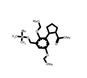 COCOc1cc(CO[Si](C)(C)C(C)(C)C)c(OCOC)c(C2CCCC2C(=O)OC)c1